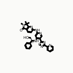 CN1C(=O)c2ccc(Nc3cc(N[C@H](CO)c4ccccc4)c(-c4nc(-c5ccccn5)no4)cn3)nc2C1(C)C